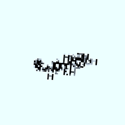 N#C/C(=C\c1ccc(NCCN2CCOCC2)cc1)C(=O)N[C@H]1CO[C@H](CO)[C@@H](O)[C@@H]1O